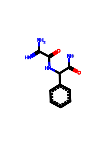 [NH]C(=O)C(NC(=O)C(=N)N)c1ccccc1